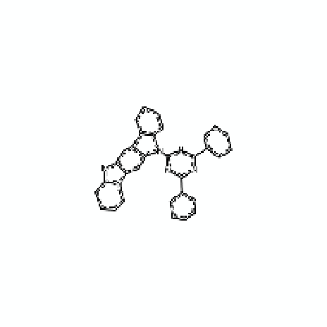 c1ccc(-c2nc(-c3ccccc3)nc(-n3c4ccccc4c4cc5nc6ccccn6c5cc43)n2)cc1